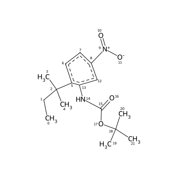 CCC(C)(C)c1ccc([N+](=O)[O-])cc1NC(=O)OC(C)(C)C